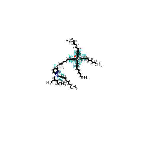 CCCCCCC(F)(F)C(F)(F)C(F)(F)[B-](C(F)(F)C(F)(F)C(F)(F)CCCCCC)(C(F)(F)C(F)(F)C(F)(F)CCCCCC)C(F)(F)C(F)(F)C(F)(F)CCCCCC.CCCCCCC(F)(F)C(F)(F)C(F)(F)[NH+](CC(C)CCC)c1ccc(F)cc1F